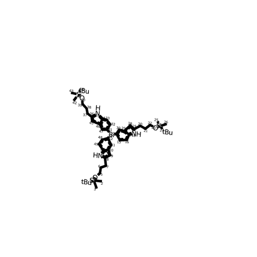 CC(C)(C)[Si](C)(C)OCCCc1cc2c[c]([Bi]([c]3ccc4[nH]c(CCCO[Si](C)(C)C(C)(C)C)cc4c3)[c]3ccc4[nH]c(CCCO[Si](C)(C)C(C)(C)C)cc4c3)ccc2[nH]1